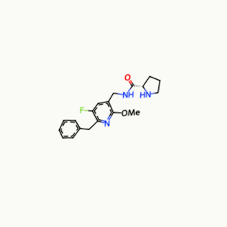 COc1nc(Cc2ccccc2)c(F)cc1CNC(=O)[C@@H]1CCCN1